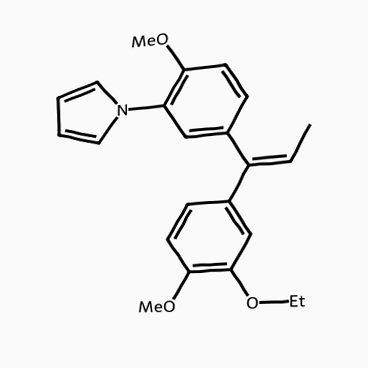 CC=C(c1ccc(OC)c(OCC)c1)c1ccc(OC)c(-n2cccc2)c1